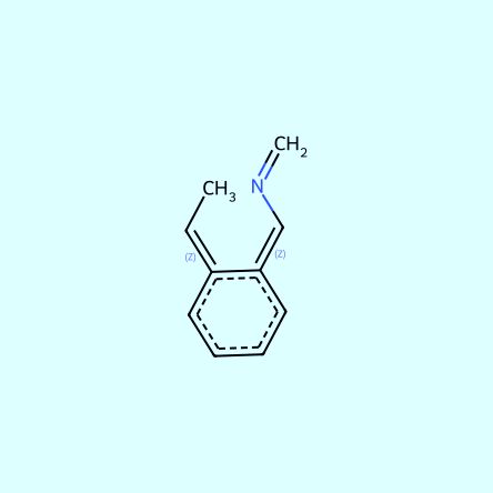 C=N/C=c1/cccc/c1=C/C